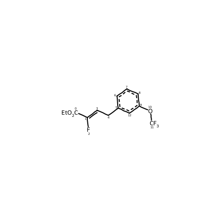 CCOC(=O)C(F)=CCc1cccc(OC(F)(F)F)c1